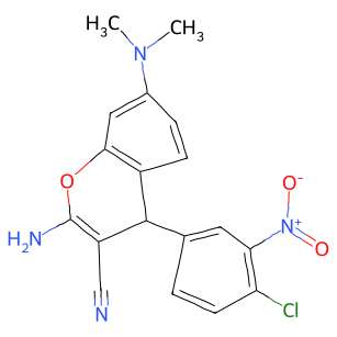 CN(C)c1ccc2c(c1)OC(N)=C(C#N)C2c1ccc(Cl)c([N+](=O)[O-])c1